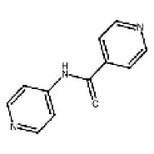 O=C(Nc1ccncc1)c1ccncc1